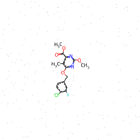 COC(=O)c1nc(OC)nc(OCc2ccc(Cl)c(F)c2)c1C